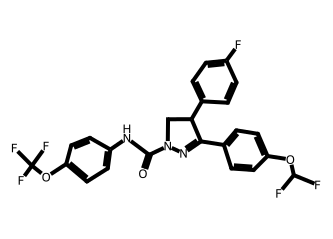 O=C(Nc1ccc(OC(F)(F)F)cc1)N1CC(c2ccc(F)cc2)C(c2ccc(OC(F)F)cc2)=N1